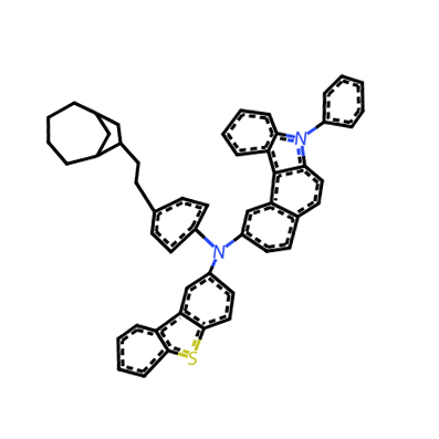 c1ccc(-n2c3ccccc3c3c4cc(N(c5ccc(CCC6CC7CCCCC6C7)cc5)c5ccc6sc7ccccc7c6c5)ccc4ccc32)cc1